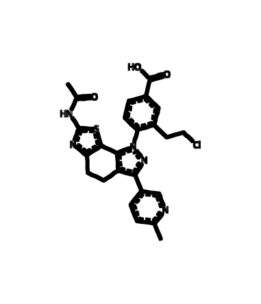 CC(=O)Nc1nc2c(s1)-c1c(c(-c3ccc(C)nc3)nn1-c1ccc(C(=O)O)cc1CCCl)CC2